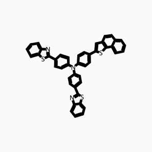 c1ccc2c(c1)ccc1cc(-c3ccc(N(c4ccc(-c5nc6ccccc6s5)cc4)c4ccc(-c5nc6ccccc6s5)cc4)cc3)sc12